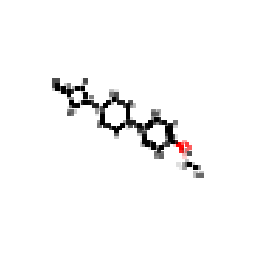 C=C1CC(C2CCC(c3ccc(OCC)cc3)CC2)C1